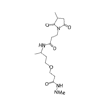 CNNC(=O)CCOCCC(C)NC(=O)CCN1C(=O)CC(C)C1=O